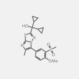 COc1ccc(-c2c(C)nc3sc(C(O)(C4CC4)C4CC4)nn23)cc1S(C)(=O)=O